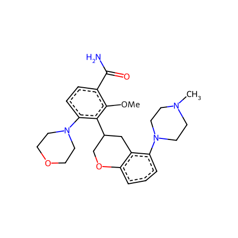 COc1c(C(N)=O)ccc(N2CCOCC2)c1C1COc2cccc(N3CCN(C)CC3)c2C1